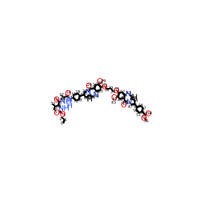 C=CCOC(=O)N[C@H](C(=O)N[C@@H](C)C(=O)Nc1ccc(C2=CN3C(=O)c4cc(OC)c(OCCCOc5cc6c(cc5OC)C(=O)N5C=C(c7ccc(C(=O)OC)cc7)C[C@H]5C=N6)cc4N=C[C@@H]3C2)cc1)C(C)C